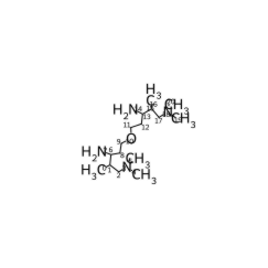 CC(CN(C)C)C(N)CCOCCC(N)C(C)CN(C)C